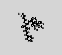 CCCCCN(CCN(C)C(=O)OC(C)(C)C)C(=O)NCCCc1ccncc1